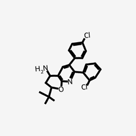 CC(C)(C)C1CC(N)c2cc(-c3ccc(Cl)cc3)c(-c3ccccc3Cl)nc2O1